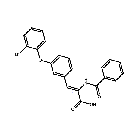 O=C(O)/C(=C/c1cccc(Oc2ccccc2Br)c1)NC(=O)c1ccccc1